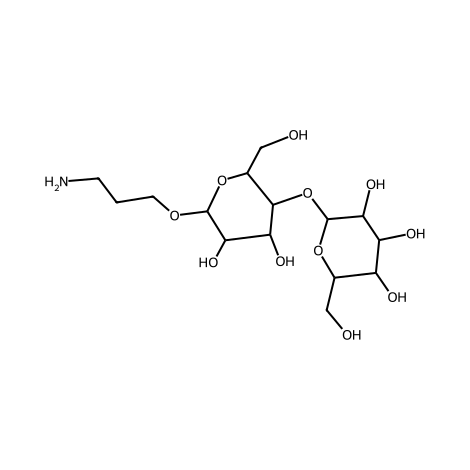 NCCCOC1OC(CO)C(OC2OC(CO)C(O)C(O)C2O)C(O)C1O